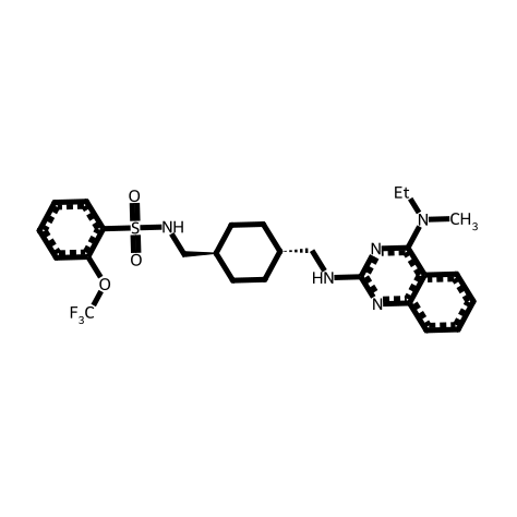 CCN(C)c1nc(NC[C@H]2CC[C@H](CNS(=O)(=O)c3ccccc3OC(F)(F)F)CC2)nc2ccccc12